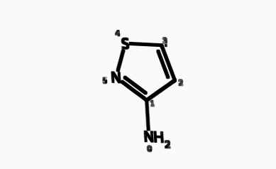 Nc1c[c]sn1